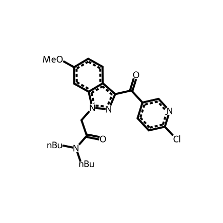 CCCCN(CCCC)C(=O)Cn1nc(C(=O)c2ccc(Cl)nc2)c2ccc(OC)cc21